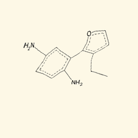 CCc1ccoc1-c1cc(N)ccc1N